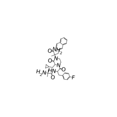 CC(C)(N)C(=O)NC(Cc1ccc(F)cc1)C(=O)N1CCN(C(C)(Cc2ccc3ccccc3c2)C(N)=O)C(=O)C1CC1CC1